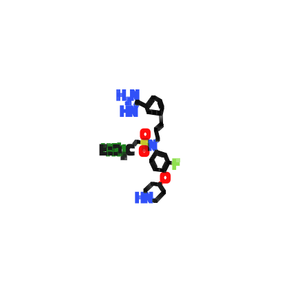 CCOC(=O)CS(=O)(=O)N(C/C=C/c1cccc(C(=N)N)c1)c1ccc(OC2CCNCC2)c(F)c1.Cl.Cl